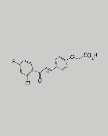 O=C(O)COc1ccc(/C=C/C(=O)c2ccc(F)cc2Cl)cc1